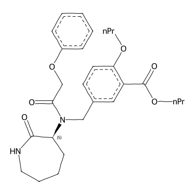 CCCOC(=O)c1cc(CN(C(=O)COc2ccccc2)[C@H]2CCCCNC2=O)ccc1OCCC